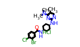 Cc1cnc(N[C@H]2CC[C@@H](NC(=O)c3ccc(Cl)c(Br)c3)CC2)nc1N(C)C.Cl